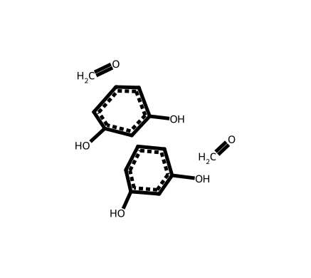 C=O.C=O.Oc1cccc(O)c1.Oc1cccc(O)c1